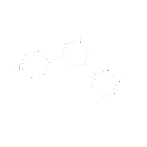 FC(F)(F)c1ccc(-c2cncc(N3CCNCC3)c2)cn1